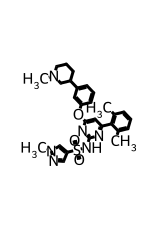 Cc1cccc(C)c1-c1cc(Oc2cccc(C3CCCN(C)C3)c2)nc(NS(=O)(=O)c2cnn(C)c2)n1